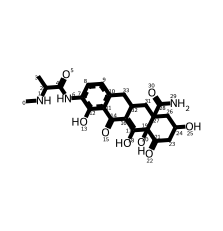 CNC(C)C(=O)Nc1ccc2c(c1O)C(=O)C1=C(O)C3(O)C(=O)CC(O)CC3(C(N)=O)CC1C2